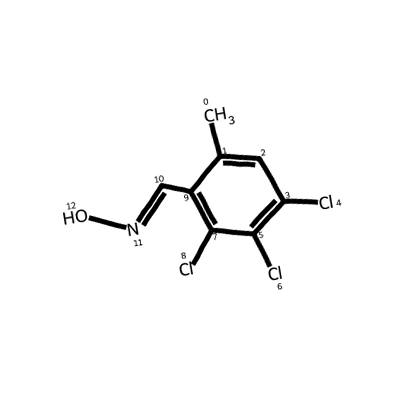 Cc1cc(Cl)c(Cl)c(Cl)c1C=NO